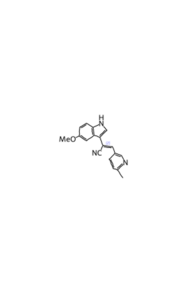 COc1ccc2[nH]cc(/C(C#N)=C/c3ccc(C)nc3)c2c1